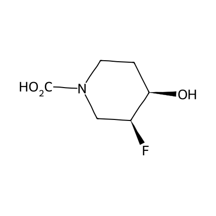 O=C(O)N1CC[C@@H](O)[C@@H](F)C1